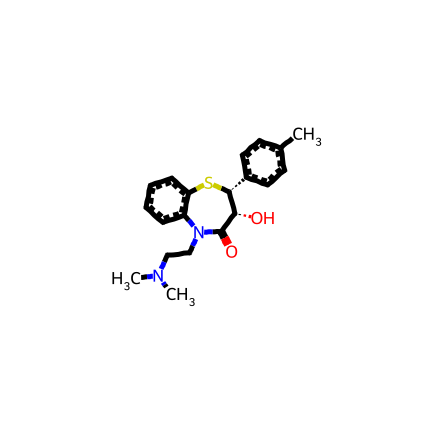 Cc1ccc([C@H]2Sc3ccccc3N(CCN(C)C)C(=O)[C@H]2O)cc1